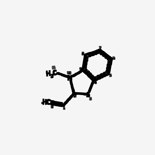 [CH]=CC1Sc2ccccc2N1C